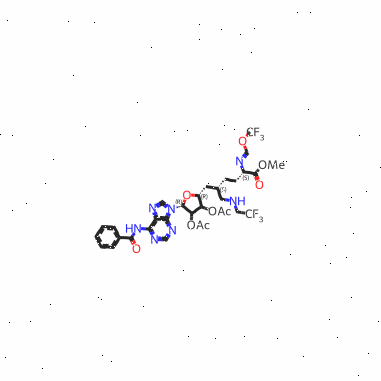 COC(=O)[C@H](CC[C@H](CNCC(F)(F)F)C[C@H]1O[C@@H](n2cnc3c(NC(=O)c4ccccc4)ncnc32)C(OC(C)=O)C1OC(C)=O)N=COC(F)(F)F